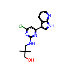 CC(C)(CO)CNc1nc(Cl)cc(-c2c[nH]c3ncccc23)n1